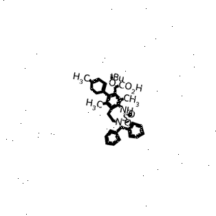 CC1=CC=C(c2c(C)c3c(c(C)c2C(OC(C)(C)C)C(=O)O)NS(=O)(=O)N(C(c2ccccc2)c2ccccc2)CC3)CC1